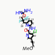 COCC#Cc1cnc(C(=O)Nc2ccc(F)c([C@H](C)C(F)(F)COC(=N)N)n2)c(Cl)c1